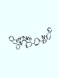 c1ccc(C2(c3ccc4ccccc4c3)N=C(c3cccc(-c4ccc(-c5nc6c(ccc7ccccc76)o5)cc4)c3)NCN2)cc1